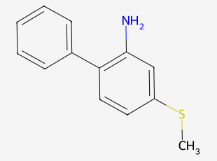 CSc1ccc(-c2ccccc2)c(N)c1